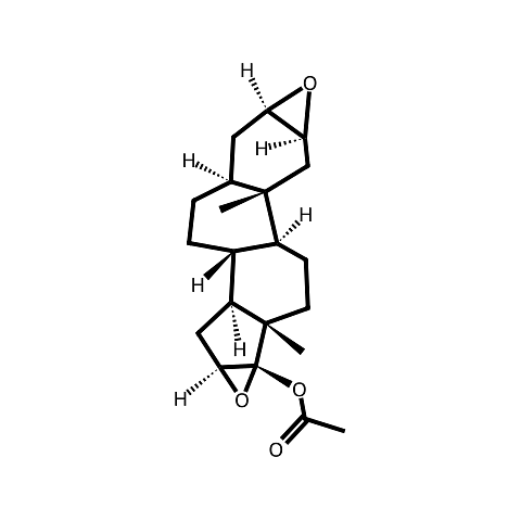 CC(=O)O[C@@]12O[C@H]1C[C@H]1[C@@H]3CC[C@H]4C[C@H]5O[C@H]5C[C@]4(C)[C@H]3CC[C@@]12C